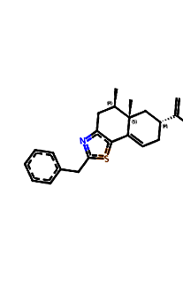 C=C(C)[C@@H]1CC=C2c3sc(Cc4ccccc4)nc3C[C@@H](C)[C@]2(C)C1